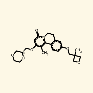 Cc1c(OC[C@@H]2COCCO2)cc(=O)n2c1-c1ccc(OCC3(C)COC3)cc1CC2